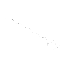 CCCCCCCCCCCCCCCCCCCC(=O)N[N+](C)(C)C.[OH-]